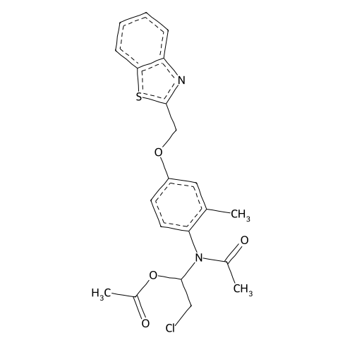 CC(=O)OC(CCl)N(C(C)=O)c1ccc(OCc2nc3ccccc3s2)cc1C